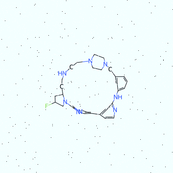 FC1CC2CCNCCN3CCN(CC3)Cc3cccc(c3)Nc3cc(ccn3)-c3cnc(nc3)N2C1